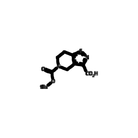 CC(C)(C)OC(=O)N1CCc2snc(C(=O)O)c2C1